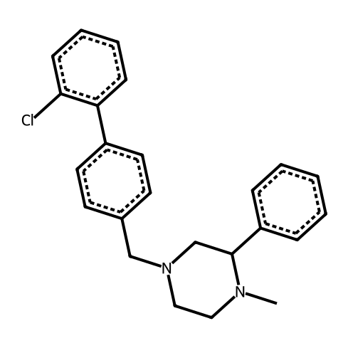 CN1CCN(Cc2ccc(-c3ccccc3Cl)cc2)CC1c1ccccc1